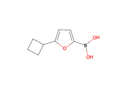 OB(O)c1ccc(C2CCC2)o1